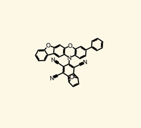 N#Cc1c(N2c3ccc(-c4ccccc4)cc3Oc3cc4oc5ccccc5c4cc32)c(C#N)c2c3ccc(o3)c2c1C#N